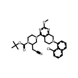 COc1nc2c(c(N3CCN(C(=O)OC(C)(C)C)C(CC#N)C3)n1)CCN(c1cccc3cccc(Cl)c13)C2